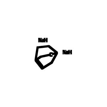 C1=C2CCC(C1)CC2.[NaH].[NaH]